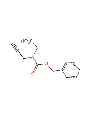 C#CCN(CC(=O)O)C(=O)OCc1ccccc1